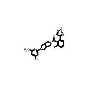 CCc1cc(C)nc(N2CC3CN(C(=O)c4c(F)cccc4-c4cn[nH]n4)CC3C2)n1